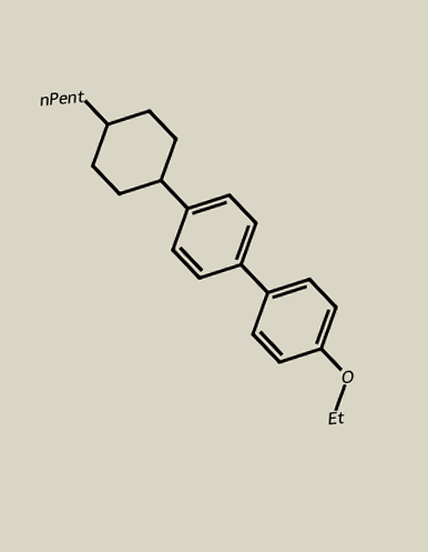 CCCCCC1CCC(c2ccc(-c3ccc(OCC)cc3)cc2)CC1